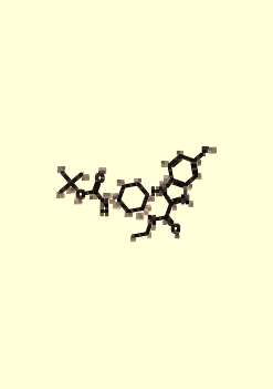 CCN(C(=O)c1nc2cc(F)ccc2[nH]1)[C@H]1CCC[C@@H](NC(=O)OC(C)(C)C)C1